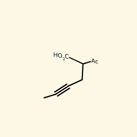 CC#CCC(C(C)=O)C(=O)O